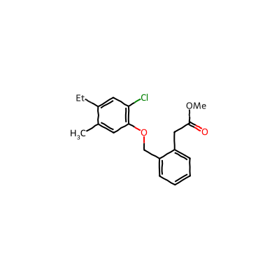 CCc1cc(Cl)c(OCc2ccccc2CC(=O)OC)cc1C